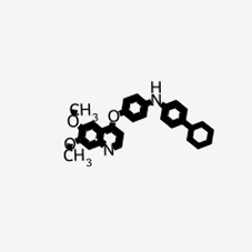 COc1cc2nccc(Oc3ccc(Nc4ccc(C5CCCCC5)cc4)cc3)c2cc1OC